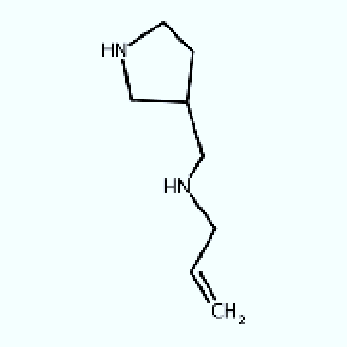 C=CCNCC1CCNC1